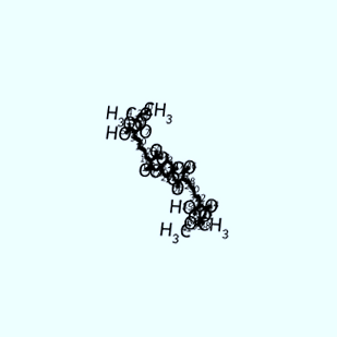 COCC1(C)OC(=O)C(/C=C/C=C/C=C2C(=O)OC3(CCC4(CC3)OC(=O)C(=C/C=C/C=C/C3=C(O)OC(C)(COC)OC3=O)C(=O)O4)OC2=O)=C(O)O1